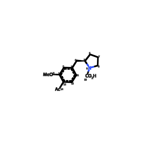 COc1cc(C[C@H]2CCCN2C(=O)O)ccc1C(C)=O